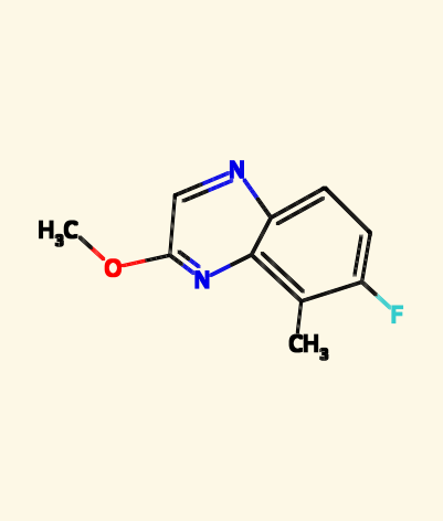 COc1cnc2ccc(F)c(C)c2n1